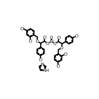 O=[N+](OC(Cl)C(OCc1ccc(Cl)cc1Cl)c1ccc(Cl)cc1)OC(Cl)C(OCc1ccc(Cl)cc1Cl)c1ccc(Cl)cc1.c1c[nH]cn1